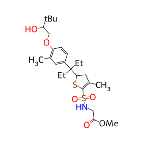 CCC(CC)(c1ccc(OCC(O)C(C)(C)C)c(C)c1)C1CC(C)=C(S(=O)(=O)NCC(=O)OC)S1